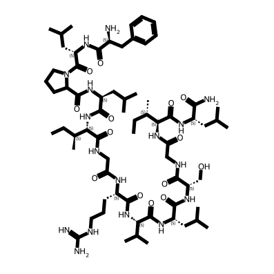 CC[C@H](C)[C@H](NC(=O)CNC(=O)[C@H](CO)NC(=O)[C@H](CC(C)C)NC(=O)[C@@H](NC(=O)[C@H](CCCNC(=N)N)NC(=O)CNC(=O)[C@@H](NC(=O)[C@H](CC(C)C)NC(=O)C1CCCN1C(=O)[C@H](CC(C)C)NC(=O)[C@@H](N)Cc1ccccc1)[C@@H](C)CC)C(C)C)C(=O)N[C@@H](CC(C)C)C(N)=O